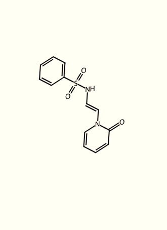 O=c1ccccn1C=CNS(=O)(=O)c1ccccc1